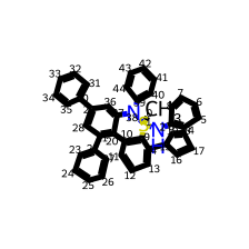 CS1(Nc2ccccc2)c2c(cccc2C2C=CC=C2)-c2c(-c3ccccc3)cc(-c3ccccc3)cc2N1c1ccccc1